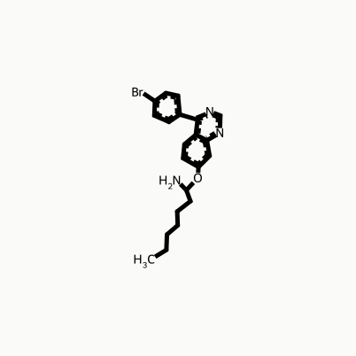 CCCCCCC(N)Oc1ccc2c(-c3ccc(Br)cc3)ncnc2c1